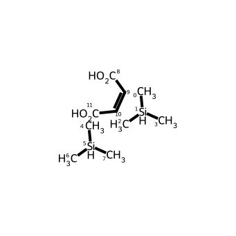 C[SiH](C)C.C[SiH](C)C.O=C(O)/C=C\C(=O)O